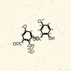 O=C([O-])c1cc(Cl)cc(Cl)c1O.O=C([O-])c1cc(Cl)ccc1O.[Li+].[Li+]